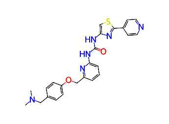 CN(C)Cc1ccc(OCc2cccc(NC(=O)Nc3csc(-c4ccncc4)n3)n2)cc1